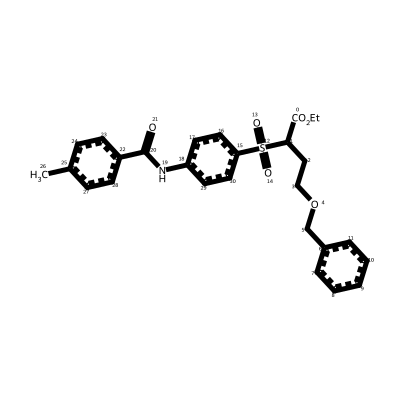 CCOC(=O)C(CCOCc1ccccc1)S(=O)(=O)c1ccc(NC(=O)c2ccc(C)cc2)cc1